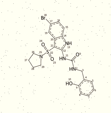 O=C(NCc1ccccc1O)Nc1[nH]c2ccc(Br)cc2c1S(=O)(=O)N1CCCC1